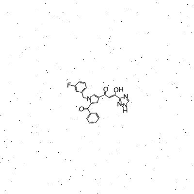 O=C(C=C(O)c1nc[nH]n1)c1cc(C(=O)c2ccccc2)n(Cc2cccc(F)c2)c1